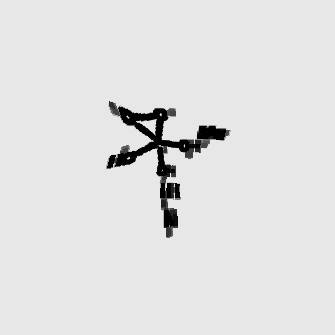 OP1(O)(O)OO1.[LiH].[Mn].[Ni]